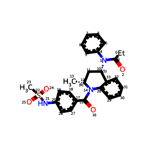 CCC(=O)N(c1ccccc1)[C@H]1C[C@@H](C)N(C(=O)c2ccc(NS(C)(=O)=O)cc2)c2ccccc21